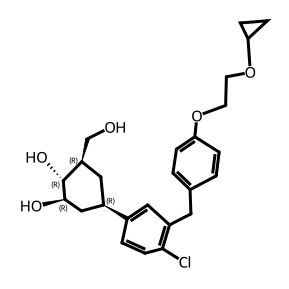 OC[C@H]1C[C@@H](c2ccc(Cl)c(Cc3ccc(OCCOC4CC4)cc3)c2)C[C@@H](O)[C@@H]1O